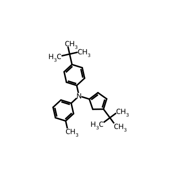 Cc1cccc(N(C2=CC=C(C(C)(C)C)C2)c2ccc(C(C)(C)C)cc2)c1